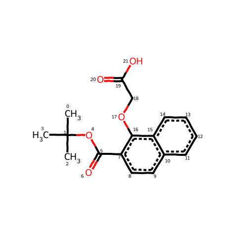 CC(C)(C)OC(=O)c1ccc2ccccc2c1OCC(=O)O